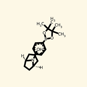 CC1(C)OB(c2ccc(N3[C@@H]4CC[C@H]3CC(O)C4)cc2)OC1(C)C